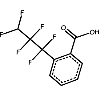 O=C(O)c1ccccc1C(F)(F)C(F)(F)C(F)F